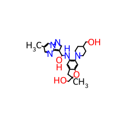 Cc1cnc2c(C(O)Nc3cc4c(cc3N3CCC(CO)CC3)OC(C)(CO)C4)cnn2c1